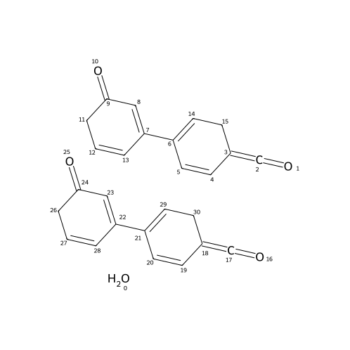 O.O=C=C1C=CC(C2=CC(=O)CC=C2)=CC1.O=C=C1C=CC(C2=CC(=O)CC=C2)=CC1